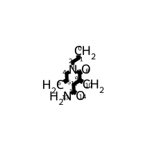 C=CCN(CC=C)C(=O)C(=C)CC(N)=O